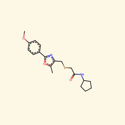 COc1ccc(-c2nc(CSCC(=O)NC3CCCC3)c(C)o2)cc1